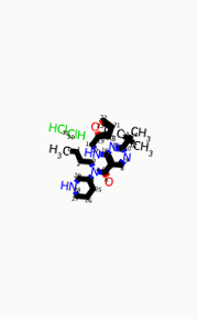 CCCCN(C(=O)c1cnc(C(C)(C)C)nc1NCc1ccco1)C1CCCNC1.Cl.Cl